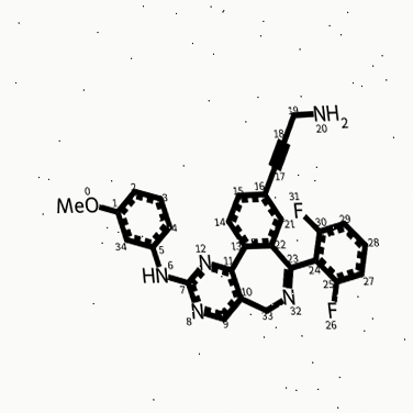 COc1cccc(Nc2ncc3c(n2)-c2ccc(C#CCN)cc2C(c2c(F)cccc2F)=NC3)c1